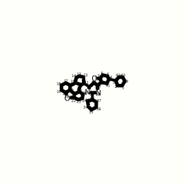 c1ccc(-c2ccc3oc4c(-c5cccc6c7cccc8oc9cccc(c56)c9c87)nc(-c5ccccc5)nc4c3c2)cc1